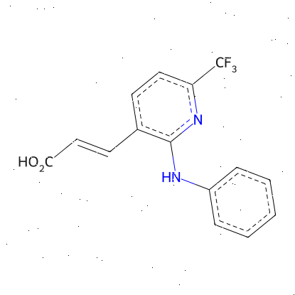 O=C(O)C=Cc1ccc(C(F)(F)F)nc1Nc1ccccc1